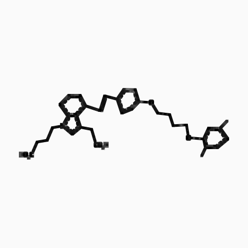 Cc1ccc(C)c(OCCCCOc2ccc(/C=C/c3cccc4c3c(CC(=O)O)cn4CCCC(=O)O)cc2)c1